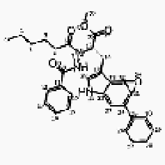 CCCCCC(=O)N(NC(=O)c1ccccc1)[C@@H](Cc1c[nH]c2cc(-c3ccccc3)c3c(c12)O3)C(=O)OC